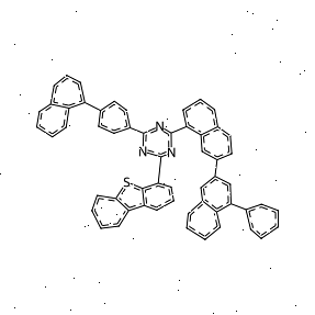 c1ccc(-c2cc(-c3ccc4cccc(-c5nc(-c6ccc(-c7cccc8ccccc78)cc6)nc(-c6cccc7c6sc6ccccc67)n5)c4c3)cc3ccccc23)cc1